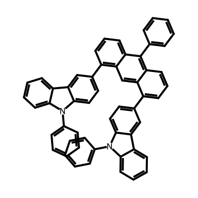 c1ccc(-c2c3cccc(-c4ccc5c(c4)c4ccccc4n5-c4ccccc4)c3cc3c(-c4ccc5c(c4)c4ccccc4n5-c4ccccc4)cccc23)cc1